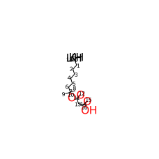 CCCCCCCC(C)(C)OC(=O)CC(=O)O.[KH].[LiH]